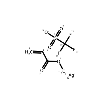 C=CC(=O)OC.O=S(=O)([O-])C(F)(F)F.[Ag+]